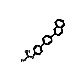 OB(O)Oc1ccc(-c2ccc(-c3ccc4ccccc4c3)cc2)cc1